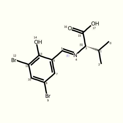 CC(C)[C@H](/N=C/c1cc(Br)cc(Br)c1O)C(=O)O